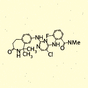 CNC(=O)c1cccc(F)c1Nc1nc(Nc2ccc3c(c2)C(C)(C)NC(=O)CC3)ncc1Cl